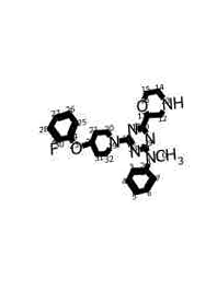 CN(c1ccccc1)c1nc(C2CNCCO2)nc(N2CCC(Oc3ccccc3F)CC2)n1